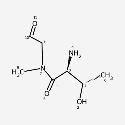 C[C@H](O)[C@H](N)C(=O)N(C)C[C]=O